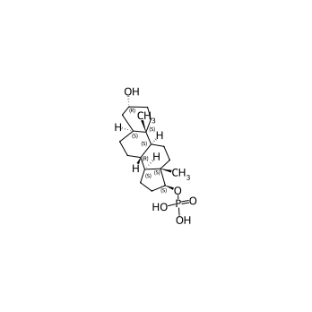 C[C@]12CC[C@@H](O)C[C@@H]1CC[C@@H]1[C@@H]2CC[C@]2(C)[C@@H](OP(=O)(O)O)CC[C@@H]12